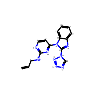 C=CCNc1nccc(-n2c(-n3cnnn3)nc3ccccc32)n1